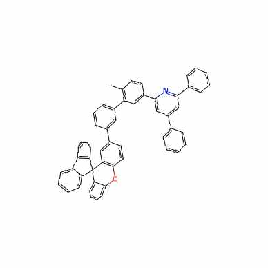 Cc1ccc(-c2cc(-c3ccccc3)cc(-c3ccccc3)n2)cc1-c1cccc(-c2ccc3c(c2)C2(C4=C(C=CCC4)c4ccccc42)c2ccccc2O3)c1